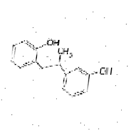 CC(Cc1ccccc1O)c1cccc(O)c1